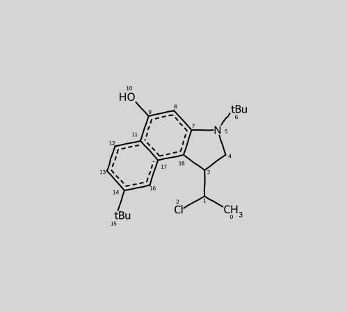 CC(Cl)C1CN(C(C)(C)C)c2cc(O)c3ccc(C(C)(C)C)cc3c21